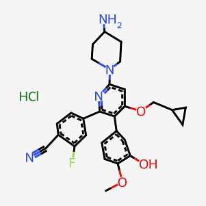 COc1ccc(-c2c(OCC3CC3)cc(N3CCC(N)CC3)nc2-c2ccc(C#N)c(F)c2)cc1O.Cl